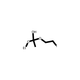 CCOC(C)(O)OCCI